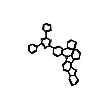 c1ccc(-c2nc(-c3ccccc3)nc(-c3ccc(-n4c5ccccc5c5c6nc7ccccn7c6ccc54)c(-c4ccccc4)c3)n2)cc1